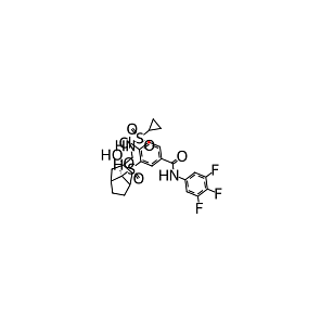 O=C(Nc1cc(F)c(F)c(F)c1)c1ccc(Cl)c(S(=O)(=O)[C@H]2C3CCC2C[C@@](O)(CNS(=O)(=O)C2CC2)C3)c1